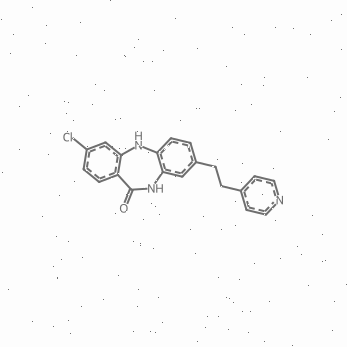 O=C1Nc2cc(CCc3ccncc3)ccc2Nc2cc(Cl)ccc21